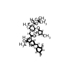 C[C@@H]1CC(=O)N(C[C@H]2CN(C(=O)OC(C)(C)C)[C@H](C)CN2CC(=O)N2CC(C)(C)c3ncc(Cc4ccc(F)cc4F)cc32)C1